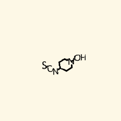 ON1CCC(N=C=S)CC1